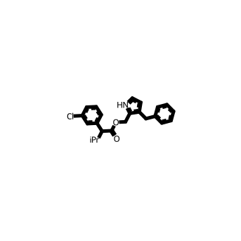 CC(C)C(C(=O)OCc1[nH]ccc1Cc1ccccc1)c1cccc(Cl)c1